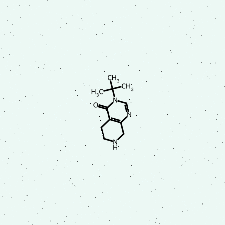 CC(C)(C)n1cnc2c(c1=O)CCNC2